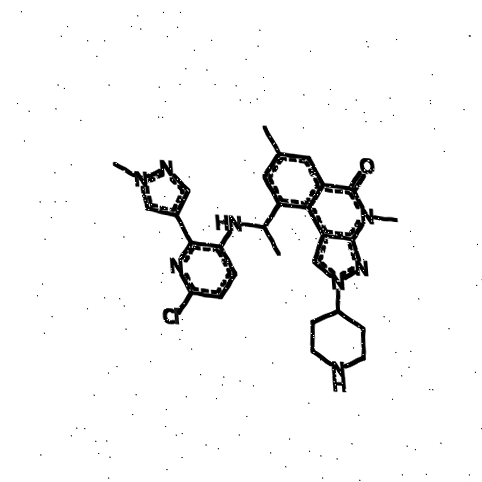 Cc1cc(C(C)Nc2ccc(Cl)nc2-c2cnn(C)c2)c2c(c1)c(=O)n(C)c1nn(C3CCNCC3)cc21